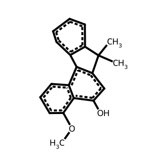 COc1cccc2c3c(cc(O)c12)C(C)(C)c1ccccc1-3